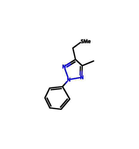 CSCc1nn(-c2ccccc2)nc1C